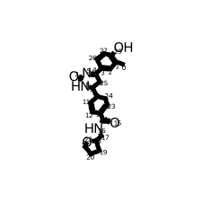 Cc1cc(C2=NC(=O)NC(C3C=CC(C(=O)NCC4CCCO4)=CC3)C2)ccc1O